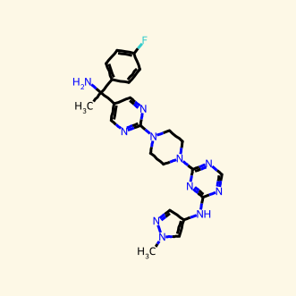 Cn1cc(Nc2ncnc(N3CCN(c4ncc(C(C)(N)c5ccc(F)cc5)cn4)CC3)n2)cn1